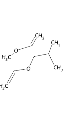 C=COC.C=COCC(C)C